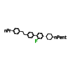 CCCCC[C@H]1CC[C@H](c2ccc(-c3ccc(CCc4ccc(CCC)cc4)cc3)c(F)c2)CC1